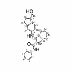 O=C(Nc1ccccc1)c1sc2cnccc2c1Nc1ccc2c(c1)CCC2=NO